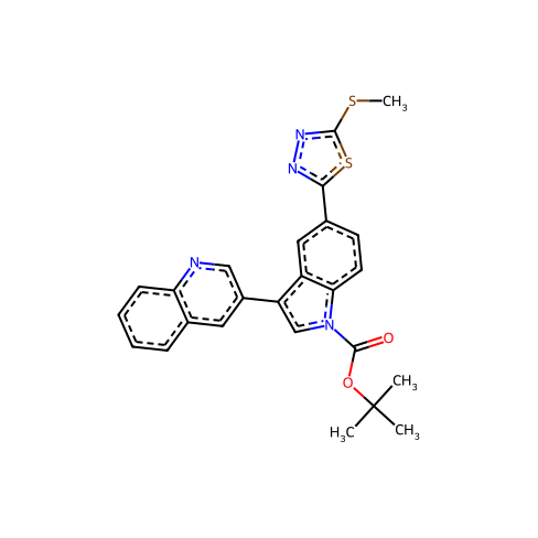 CSc1nnc(-c2ccc3c(c2)c(-c2cnc4ccccc4c2)cn3C(=O)OC(C)(C)C)s1